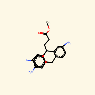 COC(=O)CCC12c3ccc(N)cc3C(c3ccc(N)cc31)c1ccc(N)cc12